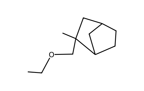 CCOCC1(C)CC2CCC1C2